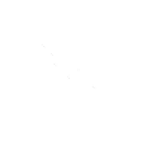 CC(Nc1ccc(Cl)c(-c2nccc3ccccc23)c1)C1=CCC(N2CCNCC2)N=C1